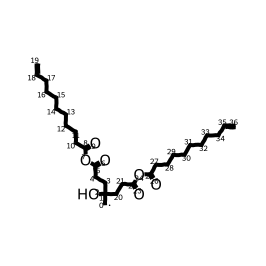 [CH2]C(O)(CCC(=O)OC(=O)CCCCCCCCC=C)CCC(=O)OC(=O)CCCCCCCCC=C